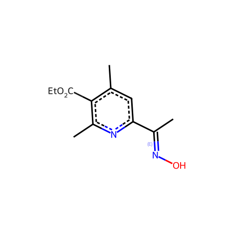 CCOC(=O)c1c(C)cc(/C(C)=N/O)nc1C